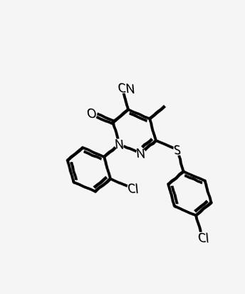 Cc1c(Sc2ccc(Cl)cc2)nn(-c2ccccc2Cl)c(=O)c1C#N